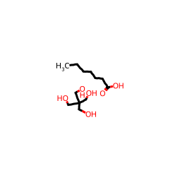 CCCCCCC(=O)O.OCC(CO)(CO)CO